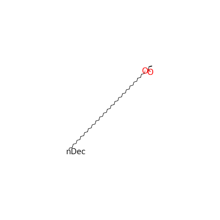 C=CC(=O)OCCCCCCCCCCCCCCCCCCCCCCCCCCCCCCCCCCCCCCCCCCCCCCCCCC